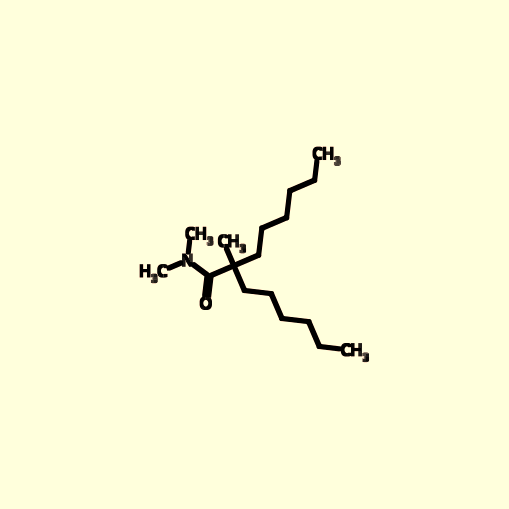 CCCCCCC(C)(CCCCCC)C(=O)N(C)C